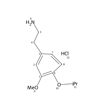 COc1cc(CCN)ccc1OC(C)C.Cl